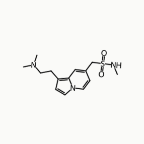 CNS(=O)(=O)Cc1ccn2ccc(CCN(C)C)c2c1